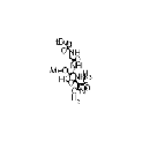 COC(O)[C@H](CNC(=O)CNC(=O)OC(C)(C)C)NC(=O)c1c(C)noc1C